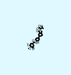 COc1cc(C(=O)Nc2ccc(-c3ccc4c(c3)C(=O)N(C(C(=O)O)C(C)C)C4)cc2)cc(OC)c1OC